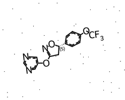 FC(F)(F)Oc1ccc([C@@H]2CC(Oc3cncnc3)=NO2)cc1